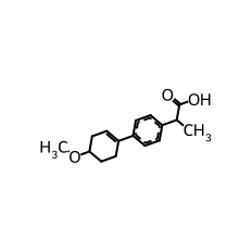 COC1CC=C(c2ccc(C(C)C(=O)O)cc2)CC1